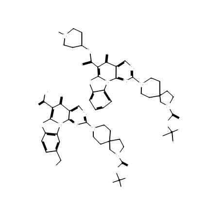 CCc1ccc2sc3c(C(=O)O)c(=O)c4cnc(N5CCC6(CCN(C(=O)OC(C)(C)C)C6)CC5)nc4n3c2c1.CN1CCC(NC(=O)c2c(=O)c3cnc(N4CCC5(CCN(C(=O)OC(C)(C)C)C5)CC4)nc3n3c2sc2ccccc23)CC1